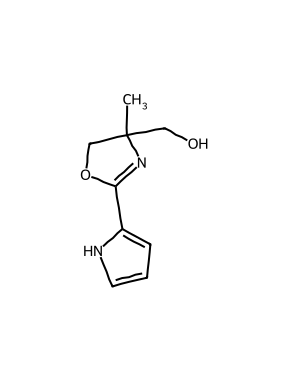 CC1(CO)COC(c2ccc[nH]2)=N1